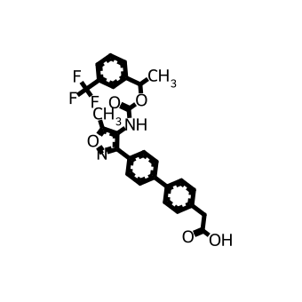 Cc1onc(-c2ccc(-c3ccc(CC(=O)O)cc3)cc2)c1NC(=O)OC(C)c1cccc(C(F)(F)F)c1